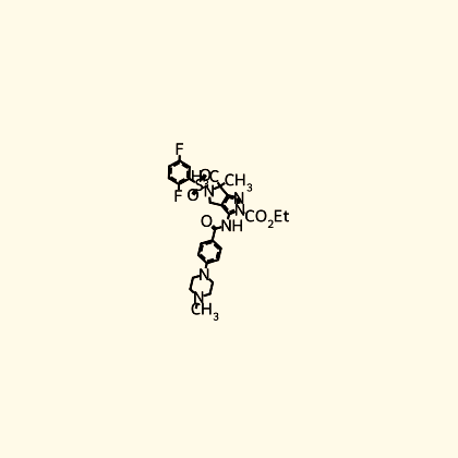 CCOC(=O)n1nc2c(c1NC(=O)c1ccc(N3CCN(C)CC3)cc1)CN(S(=O)(=O)c1cc(F)ccc1F)C2(C)C